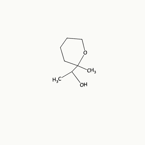 CC(O)C1(C)CCCCO1